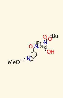 COCCCn1ccc2ccc(C(=O)N(C[C@@H]3CN(C(=O)OC(C)(C)C)C[C@H]3CO)C(C)C)cc21